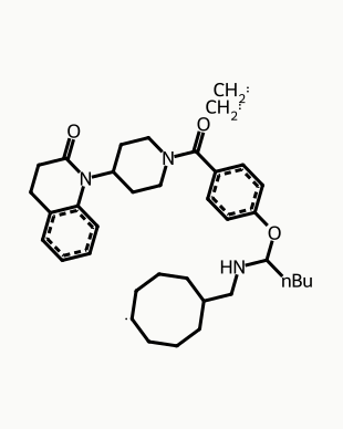 CCCCC(NCC1CCC[CH]CCC1)Oc1ccc(C(=O)N2CCC(N3C(=O)CCc4ccccc43)CC2)cc1.[CH2].[CH2]